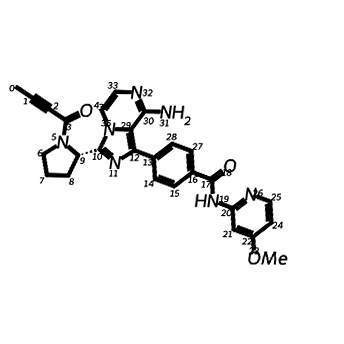 CC#CC(=O)N1CCC[C@H]1c1nc(-c2ccc(C(=O)Nc3cc(OC)ccn3)cc2)c2c(N)nccn12